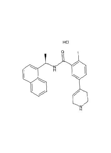 Cc1ccc(C2=CCNCC2)cc1C(=O)N[C@H](C)c1cccc2ccccc12.Cl